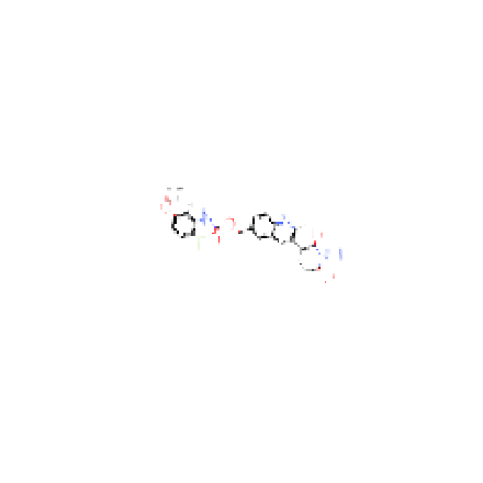 Cc1nc2ccc(COC(=O)Nc3cc(OC(F)(F)F)ccc3F)cc2cc1C1CCC(=O)NC1=O